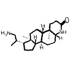 CC(CN)[C@H]1CC[C@H]2[C@@H]3CC[C@H]4NC(=O)CC[C@]4(C)[C@H]3CC[C@]12C